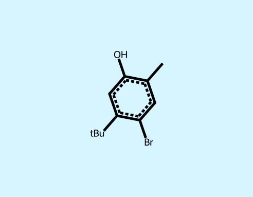 Cc1cc(Br)c(C(C)(C)C)cc1O